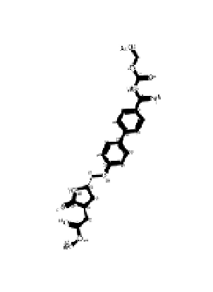 CC(=O)OCOC(=O)NC(=N)c1ccc(-c2ccc(OC[C@@H]3C[C@@H](CC(=O)OC(C)C)C(=O)N3)cc2)cc1